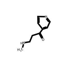 CNCCC(=O)c1ccncc1